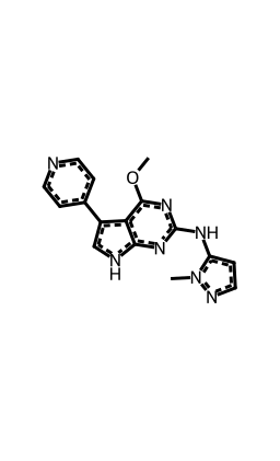 COc1nc(Nc2ccnn2C)nc2[nH]cc(-c3ccncc3)c12